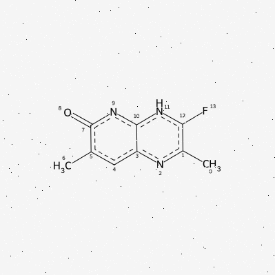 Cc1nc2cc(C)c(=O)nc-2[nH]c1F